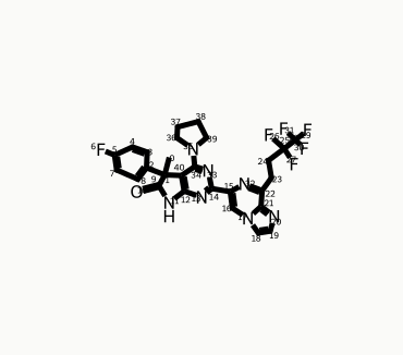 CC1(c2ccc(F)cc2)C(=O)Nc2nc(-c3cn4ccnc4c(CCC(F)(F)C(F)(F)F)n3)nc(N3CCCC3)c21